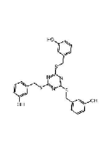 Oc1cccc(CSc2nc(SCc3cccc(O)c3)nc(SCc3cccc(O)c3)n2)c1